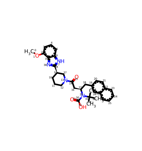 COc1cccc2[nH]c([C@@H]3CCCN(C(=O)C[C@@H](Cc4ccc5ccccc5c4)N(C(=O)O)C(C)(C)C)C3)nc12